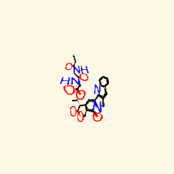 CCC(=O)NCC(=O)NCC(=O)OC(C)[C@H]1C(=O)OCc2c1cc1n(c2=O)Cc2cc3ccccc3nc2-1